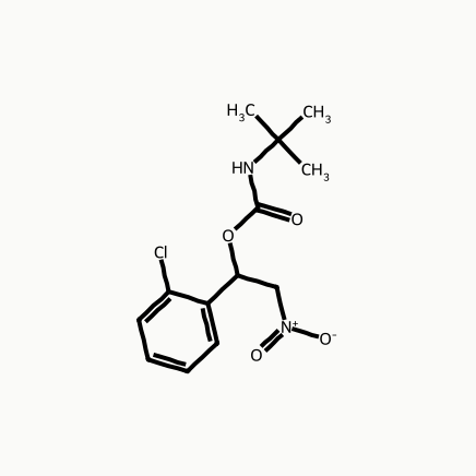 CC(C)(C)NC(=O)OC(C[N+](=O)[O-])c1ccccc1Cl